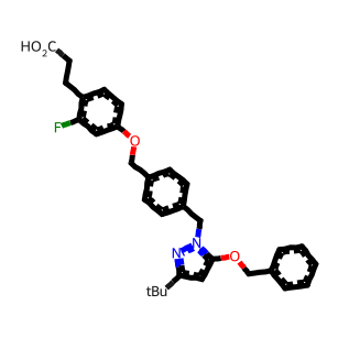 CC(C)(C)c1cc(OCc2ccccc2)n(Cc2ccc(COc3ccc(CCC(=O)O)c(F)c3)cc2)n1